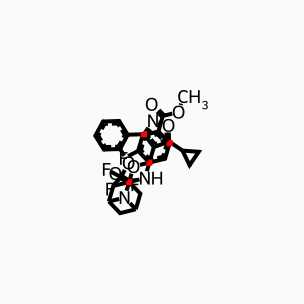 COC(=O)c1ccc(NC(=O)N2C3CC(OCc4c(-c5ccccc5OC(F)(F)F)noc4C4CC4)CC2C3)c(F)c1